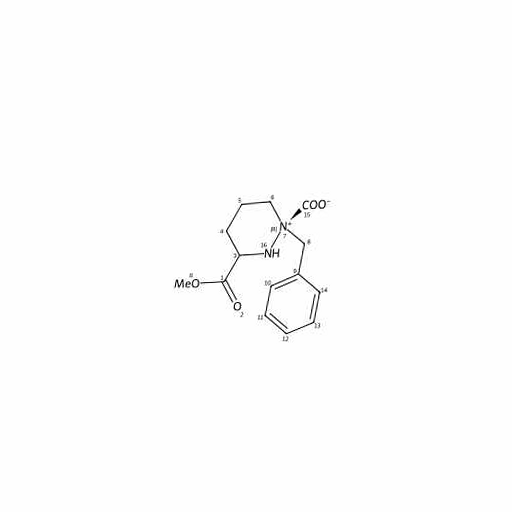 COC(=O)C1CCC[N@@+](Cc2ccccc2)(C(=O)[O-])N1